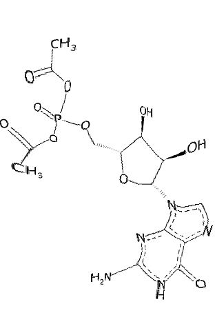 CC(=O)OP(=O)(OC[C@H]1O[C@@H](n2cnc3c(=O)[nH]c(N)nc32)[C@H](O)[C@@H]1O)OC(C)=O